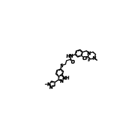 CN1CCN(Cc2ccc(NC(=O)CCSc3ccc4c(-c5cnn(C)c5)n[nH]c4c3)cc2C(F)(F)F)CC1